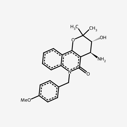 COc1ccc(Cn2c(=O)c3c(c4ccccc42)OC(C)(C)[C@H](O)[C@H]3N)cc1